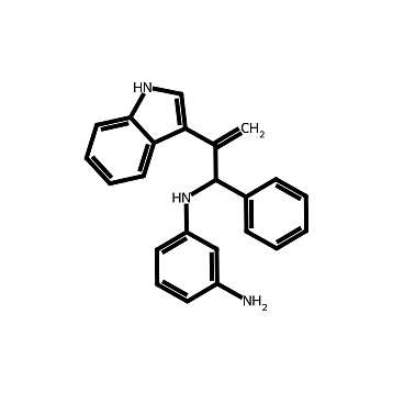 C=C(c1c[nH]c2ccccc12)C(Nc1cccc(N)c1)c1ccccc1